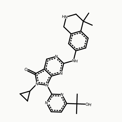 CC(C)(O)c1ccnc(-n2c3nc(Nc4ccc5c(c4)CNCC5(C)C)ncc3c(=O)n2C2CC2)n1